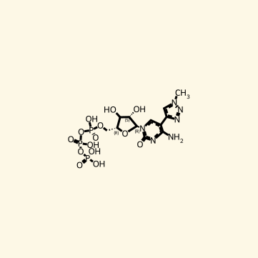 Cn1cc(-c2cn([C@@H]3O[C@H](COP(=O)(O)OP(=O)(O)OP(=O)(O)O)C(O)[C@@H]3O)c(=O)nc2N)nn1